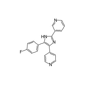 Fc1ccc(-c2[nH]c(-c3cccnc3)nc2-c2ccncc2)cc1